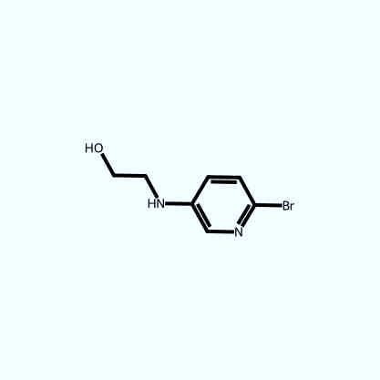 OCCNc1ccc(Br)nc1